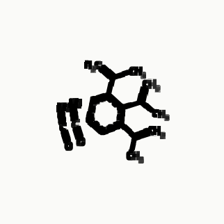 C=C(C)c1cccc(C(=C)C)c1C(=C)C.N=C=O.N=C=O